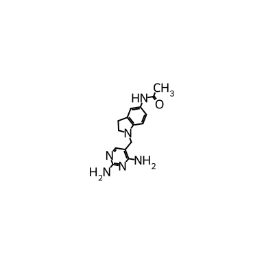 CC(=O)Nc1ccc2c(c1)CCN2Cc1cnc(N)nc1N